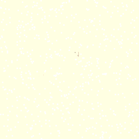 C[C@H](c1ccccc1)N1CCCC[C@H]1CO